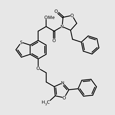 COC(Cc1ccc(OCCc2nc(-c3ccccc3)oc2C)c2ccsc12)C(=O)N1C(=O)OCC1Cc1ccccc1